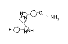 NCCCOc1ccc(-c2cnc3ccc(-c4c[nH]nc4-c4ccc(F)cc4)cn23)cc1